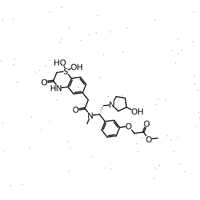 COC(=O)COc1cccc([C@@H](CN2CCC(O)C2)N(C)C(=O)Cc2ccc3c(c2)NC(=O)CS3(O)O)c1